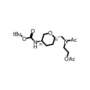 CC(=O)OCCN(C[C@@H]1CC[C@@H](NC(=O)OC(C)(C)C)CO1)C(C)=O